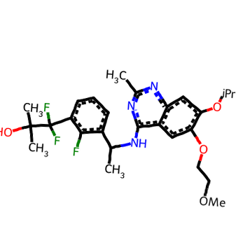 COCCOc1cc2c(NC(C)c3cccc(C(F)(F)C(C)(C)O)c3F)nc(C)nc2cc1OC(C)C